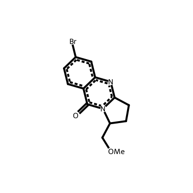 COCC1CCc2nc3cc(Br)ccc3c(=O)n21